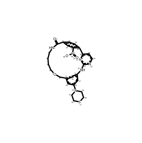 O=C1NCCCCOCc2cc(cc(N3CCSCC3)c2)Nc2nccc(n2)-c2ccc1cc2[N+](=O)[O-]